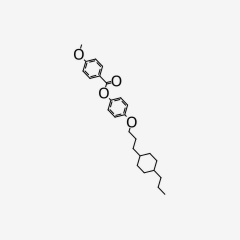 CCCC1CCC(CCCOc2ccc(OC(=O)c3ccc(OC)cc3)cc2)CC1